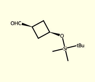 CC(C)(C)[Si](C)(C)O[C@H]1C[C@@H](C=O)C1